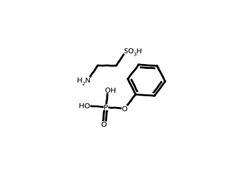 NCCS(=O)(=O)O.O=P(O)(O)Oc1ccccc1